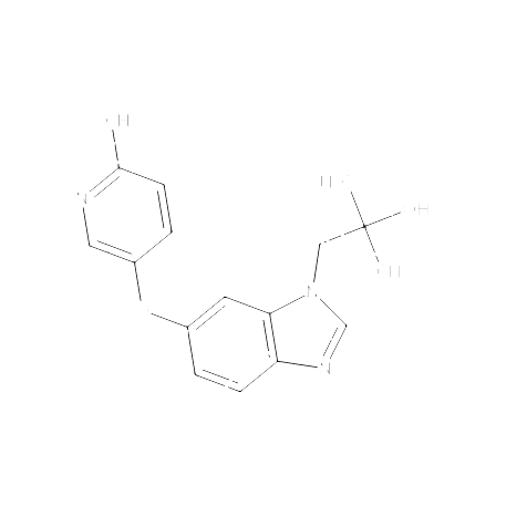 Cc1ccc(Oc2ccc3ncn(CC(C)(C)O)c3c2)cn1